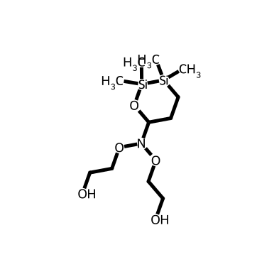 C[Si]1(C)CCC(N(OCCO)OCCO)O[Si]1(C)C